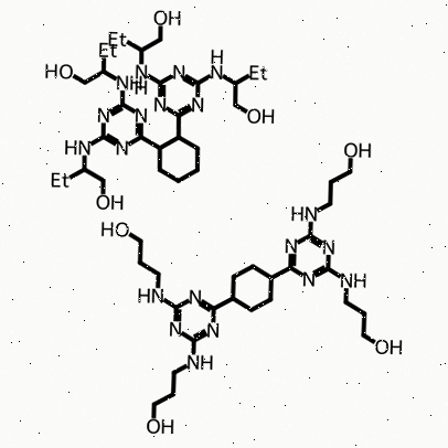 CCC(CO)Nc1nc(NC(CC)CO)nc(C2CCCCC2c2nc(NC(CC)CO)nc(NC(CC)CO)n2)n1.OCCCNc1nc(NCCCO)nc(C2CCC(c3nc(NCCCO)nc(NCCCO)n3)CC2)n1